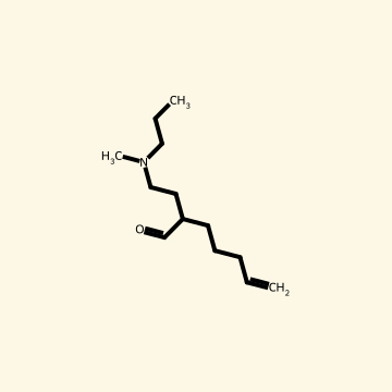 C=CCCCC(C=O)CCN(C)CCC